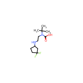 CC(C)(C)N(CCNC1CCC(F)(F)C1)C(=O)O